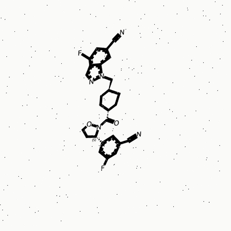 N#Cc1cc(F)cc([C@@H]2CCON2C(=O)[C@H]2CC[C@H](Cn3ncc4c(F)cc(C#N)cc43)CC2)c1